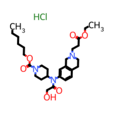 CCCCCCOC(=O)N1CCC(N(C(=O)CO)c2ccc3c(c2)CN(CCC(=O)OCC)CC3)CC1.Cl